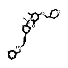 Cc1cc(OCC2CCOCC2)cc(=O)n1[C@H](C)c1ccc(C#CCNCc2ccccc2)cc1